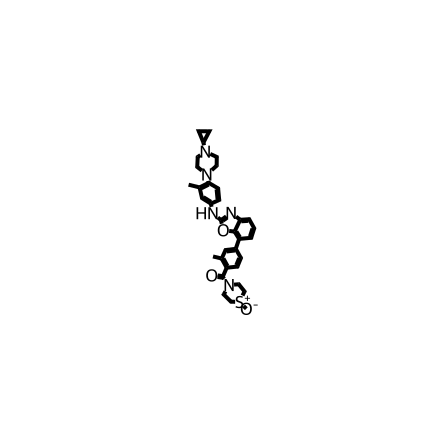 Cc1cc(-c2cccc3nc(Nc4ccc(N5CCN(C6CC6)CC5)c(C)c4)oc23)ccc1C(=O)N1CC[S+]([O-])CC1